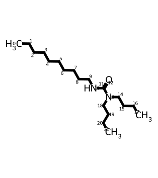 CCCCCCCCCCNC(=O)N(CCCC)CCCC